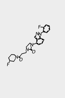 O=C(CCN1CCN(c2cccc3c2cnn3-c2ccccc2F)C1=O)N1CCC[C@H](F)C1